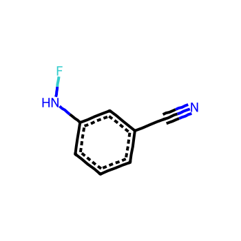 N#Cc1cccc(NF)c1